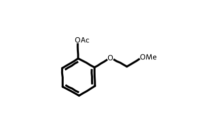 COCOc1ccccc1OC(C)=O